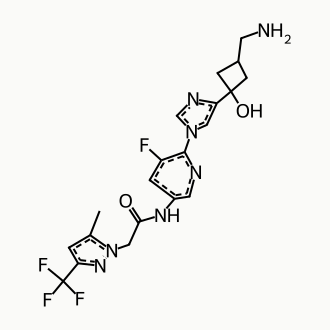 Cc1cc(C(F)(F)F)nn1CC(=O)Nc1cnc(-n2cnc(C3(O)CC(CN)C3)c2)c(F)c1